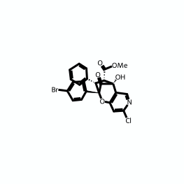 COC(=O)[C@H]1[C@@H](c2ccccc2)[C@@]2(c3ccc(Br)cc3)Oc3cc(Cl)ncc3[C@@]1(O)C2=O